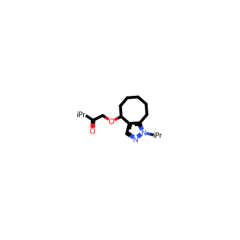 CC(C)C(=O)COC1CCCCCc2c1cnn2C(C)C